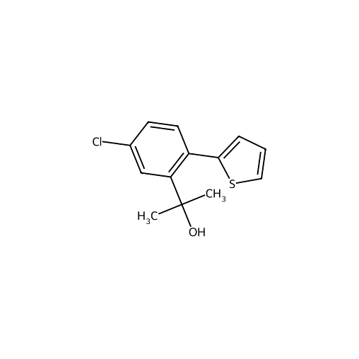 CC(C)(O)c1cc(Cl)ccc1-c1cccs1